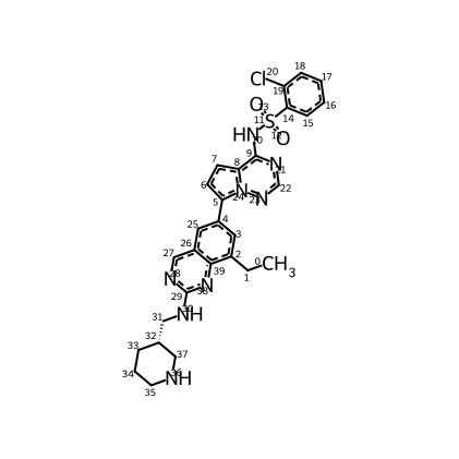 CCc1cc(-c2ccc3c(NS(=O)(=O)c4ccccc4Cl)ncnn23)cc2cnc(NC[C@H]3CCCNC3)nc12